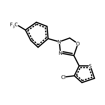 FC(F)(F)c1ccc(N2COC(c3sccc3Cl)=N2)cc1